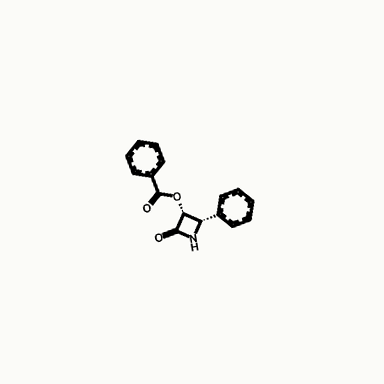 O=C(O[C@H]1C(=O)N[C@H]1c1ccccc1)c1ccccc1